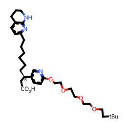 CC(C)(C)CCOCCOCCOCCOc1ccc([C@H](CCCCCCc2ccc3c(n2)NCCC3)CC(=O)O)cn1